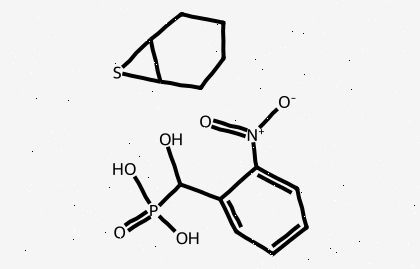 C1CCC2SC2C1.O=[N+]([O-])c1ccccc1C(O)P(=O)(O)O